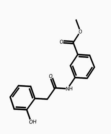 COC(=O)c1cccc(NC(=O)Cc2ccccc2O)c1